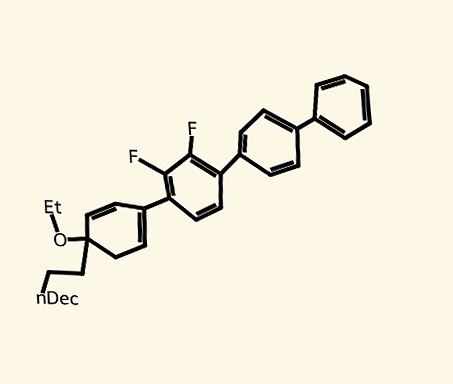 CCCCCCCCCCCCC1(OCC)C=CC(c2ccc(-c3ccc(-c4ccccc4)cc3)c(F)c2F)=CC1